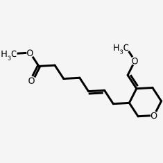 COC=C1CCOCC1CC=CCCCC(=O)OC